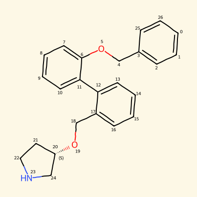 c1ccc(COc2ccccc2-c2ccccc2CO[C@H]2CCNC2)cc1